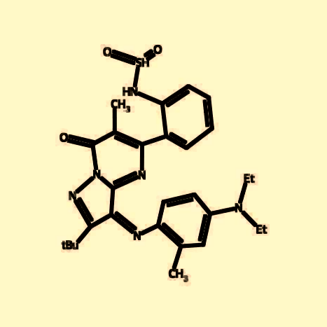 CCN(CC)c1ccc(/N=C2/C(C(C)(C)C)=Nn3c2nc(-c2ccccc2N[SH](=O)=O)c(C)c3=O)c(C)c1